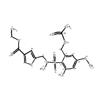 CCOC(=O)c1coc(CN(C)S(=O)(=O)c2c(C)cc(OC)cc2COC(C)=O)c1